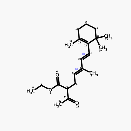 CCOC(=O)C(C/C=C(C)/C=C/C1=C(C)CCCC1(C)C)C(C)=O